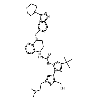 CN(C)CCn1cc(-n2nc(C(C)(C)C)cc2NC(=O)N[C@H]2CC[C@@H](Oc3ccc4nnc(N5CCCCC5)n4c3)c3ccccc32)c(CO)n1